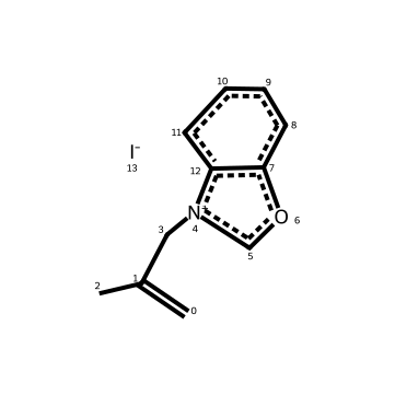 C=C(C)C[n+]1coc2ccccc21.[I-]